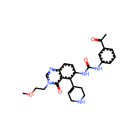 COCCn1cnc2ccc(NC(=O)Nc3cccc(C(C)=O)c3)c(C3=CCNCC3)c2c1=O